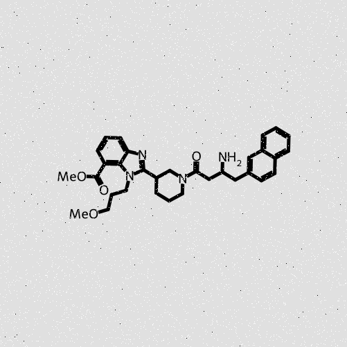 COCCCn1c(C2CCCN(C(=O)CC(N)Cc3ccc4ccccc4c3)C2)nc2cccc(C(=O)OC)c21